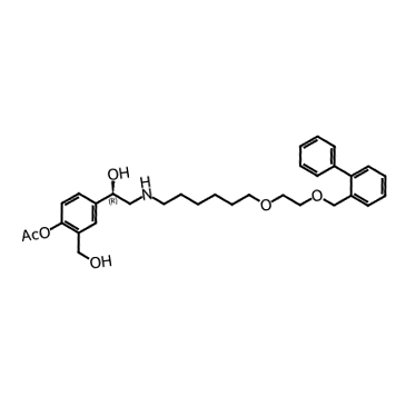 CC(=O)Oc1ccc([C@@H](O)CNCCCCCCOCCOCc2ccccc2-c2ccccc2)cc1CO